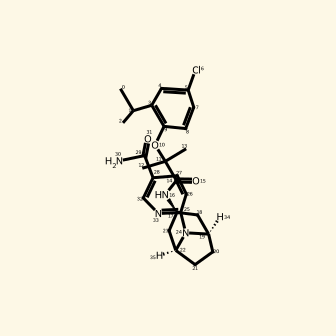 CC(C)c1cc(Cl)ccc1OC(C)(C)C(=O)N[C@H]1C[C@H]2CC[C@@H](C1)N2c1ccc(C(N)=O)cn1